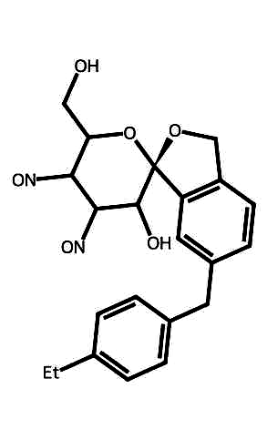 CCc1ccc(Cc2ccc3c(c2)[C@@]2(OC3)OC(CO)C(N=O)C(N=O)C2O)cc1